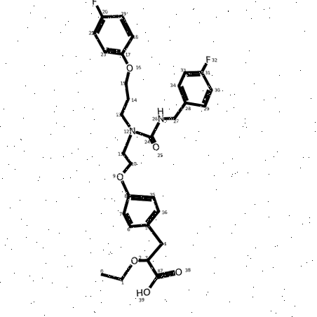 CCOC(Cc1ccc(OCCN(CCCOc2ccc(F)cc2)C(=O)NCc2ccc(F)cc2)cc1)C(=O)O